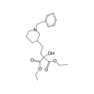 CCOC(=O)C(O)(CCC1CCCN(Cc2ccccc2)C1)C(=O)OCC